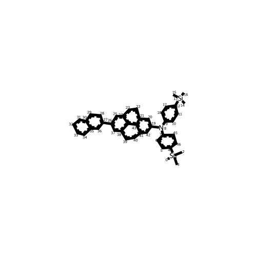 C[Si](C)(C)c1ccc(N(c2ccc([Si](C)(C)C)cc2)c2cc3ccc4cc(-c5ccc6ccccc6c5)cc5ccc(c2)c3c45)cc1